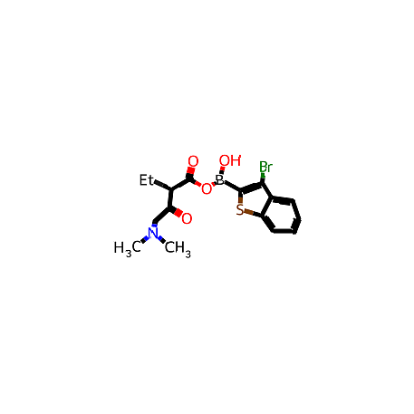 CCC(C(=O)CN(C)C)C(=O)OB(O)c1sc2ccccc2c1Br